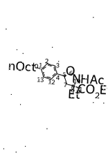 CCCCCCCCc1ccc(C(=O)CC(CC)(NC(C)=O)C(=O)OCC)cc1